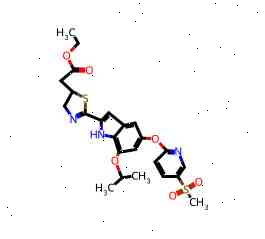 CCOC(=O)CC1CN=C(c2cc3cc(Oc4ccc(S(C)(=O)=O)cn4)cc(OC(C)C)c3[nH]2)S1